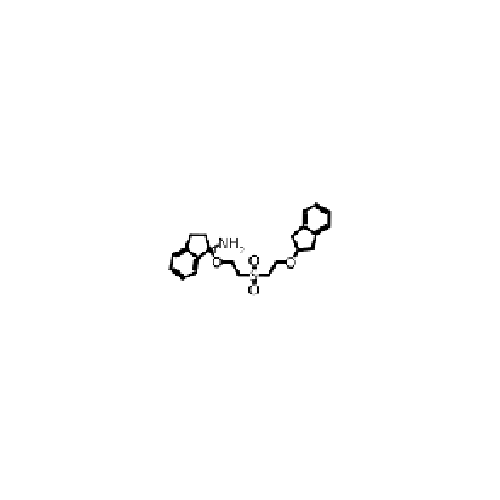 N[C@]1(OCCS(=O)(=O)CCOC2Cc3ccccc3C2)CCc2ccccc21